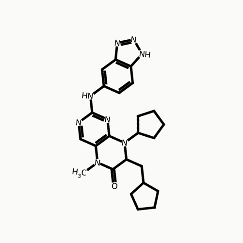 CN1C(=O)C(CC2CCCC2)N(C2CCCC2)c2nc(Nc3ccc4[nH]nnc4c3)ncc21